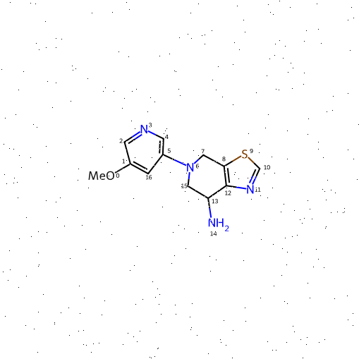 COc1cncc(N2Cc3scnc3C(N)C2)c1